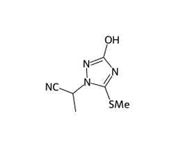 CSc1nc(O)nn1C(C)C#N